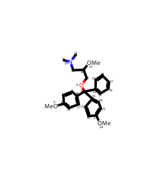 COc1ccc(C(OCC(CN(C)C)OC)(c2ccccc2)c2ccc(OC)cc2)cc1